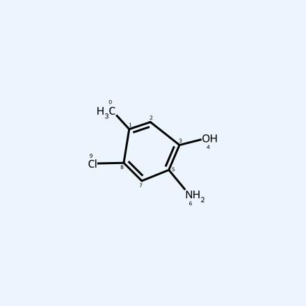 Cc1cc(O)c(N)cc1Cl